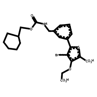 O=C(O)COc1c(C(=O)O)sc(-c2cccc(CNC(=O)OCC3CCCCC3)c2)c1Br